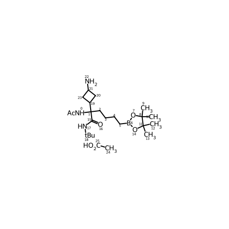 CC(=O)NC(CCCCB1OC(C)(C)C(C)(C)O1)(C(=O)NC(C)(C)C)C1CC(N)C1.CC(=O)O